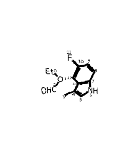 CCOC=O.Cc1c[nH]c2ccc(F)cc12